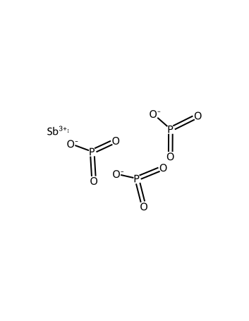 O=P(=O)[O-].O=P(=O)[O-].O=P(=O)[O-].[Sb+3]